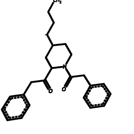 CCC[CH]C1CCN(C(=O)Cc2ccccc2)C(C(=O)Cc2ccccc2)C1